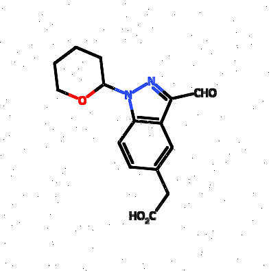 O=Cc1nn(C2CCCCO2)c2ccc(CC(=O)O)cc12